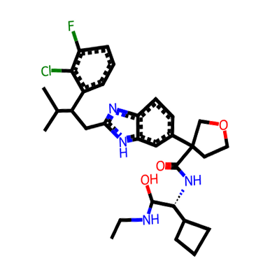 CCNC(O)[C@H](NC(=O)C1(c2ccc3nc(CC(c4cccc(F)c4Cl)C(C)C)[nH]c3c2)CCOC1)C1CCC1